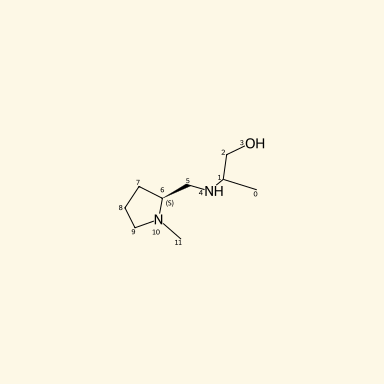 CC(CO)NC[C@@H]1CCCN1C